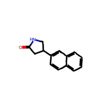 O=C1C[C](c2ccc3ccccc3c2)CN1